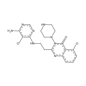 Nc1ncnc(NCCc2nc3cccc(Cl)c3c(=O)n2N2CCNCC2)c1Cl